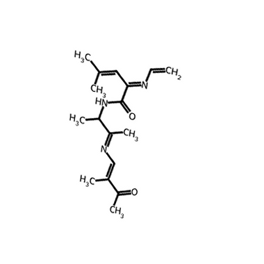 C=C/N=C(\C=C(C)C)C(=O)NC(C)/C(C)=N/C=C(\C)C(C)=O